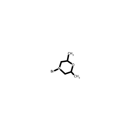 CC1CN(Br)CC(C)O1